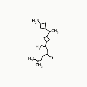 CCC(CCP(C)C)CC(C)C1CC(C(C)C2CC(N)C2)C1